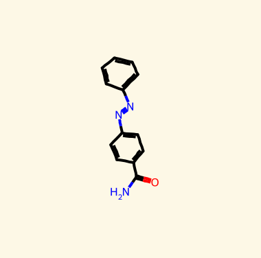 NC(=O)c1ccc(N=Nc2ccccc2)cc1